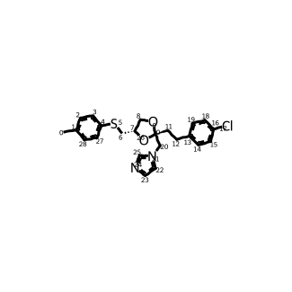 Cc1ccc(SC[C@@H]2CO[C@](CCc3ccc(Cl)cc3)(Cn3ccnc3)O2)cc1